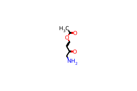 CC(=O)OC=CC(=O)CN